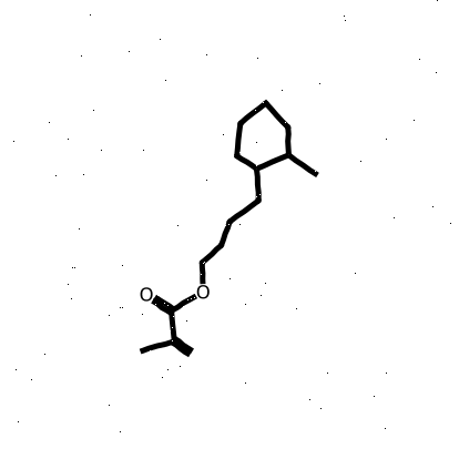 C=C(C)C(=O)OCCCCC1CCCCC1C